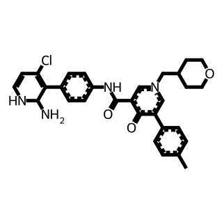 Cc1ccc(-c2cn(CC3CCOCC3)cc(C(=O)Nc3ccc(C4=C(Cl)C=CNC4N)cc3)c2=O)cc1